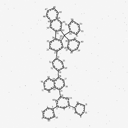 c1ccc(-c2cc(-c3ccccc3)nc(-c3ccc(-c4ccc(-c5ccc6c(c5)C(c5ccccc5)(c5ccccc5)c5cc7ccccc7cc5-6)cc4)c4ccccc34)n2)cc1